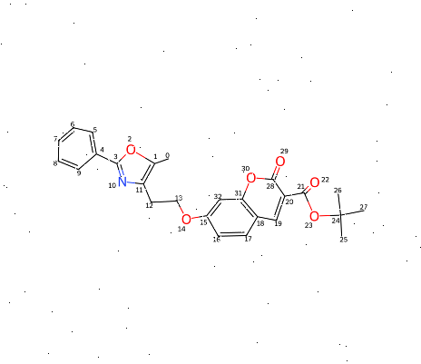 Cc1oc(-c2ccccc2)nc1CCOc1ccc2cc(C(=O)OC(C)(C)C)c(=O)oc2c1